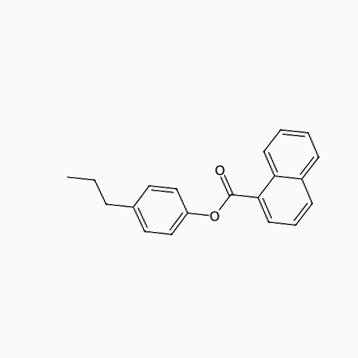 CCCc1ccc(OC(=O)c2cccc3ccccc23)cc1